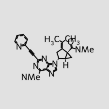 CNC(=O)[C@@]12C[C@@H]1[C@H](n1cnc3c(NC)nc(C#Cc4ccccn4)nc31)CC2=C(C)C